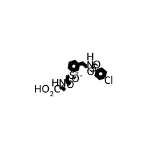 C[C@H](NC(=O)C[S+]([O-])c1cccc(CCNS(=O)(=O)c2ccc(Cl)cc2)c1)C(=O)O